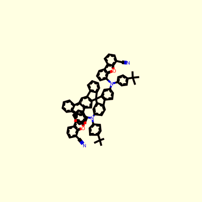 CC(C)(C)c1ccc(N(c2ccc3c(c2)C2(c4ccccc4-c4cc5c6ccccc6c6ccccc6c5cc42)c2cc(N(c4ccc(C(C)(C)C)cc4)c4cccc5c4oc4c(C#N)cccc45)ccc2-3)c2cccc3c2oc2c(C#N)cccc23)cc1